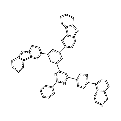 c1ccc(-c2nc(-c3ccc(-c4cccc5cnccc45)cc3)cc(-c3cc(-c4ccc5sc6ccccc6c5c4)cc(-c4ccc5sc6ccccc6c5c4)c3)n2)cc1